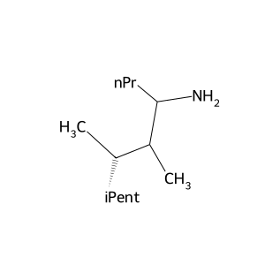 CCCC(N)C(C)C(C)[C@@H](C)CCC